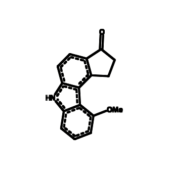 COc1cccc2[nH]c3ccc4c(c3c12)CCC4=O